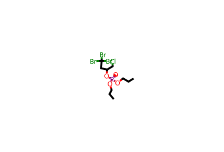 CCCOP(=O)(OCCC)OC(CCl)CC(Br)(Br)Br